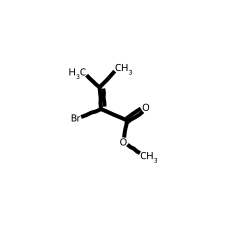 COC(=O)C(Br)=C(C)C